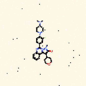 CN(C)C1CCN(c2ccc(-c3nc4ccccc4c4c(C5CCOCC5)c(=O)n(C)n34)cc2F)CC1